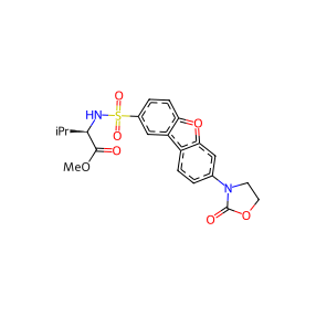 COC(=O)[C@H](NS(=O)(=O)c1ccc2oc3cc(N4CCOC4=O)ccc3c2c1)C(C)C